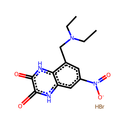 Br.CCN(CC)Cc1cc([N+](=O)[O-])cc2[nH]c(=O)c(=O)[nH]c12